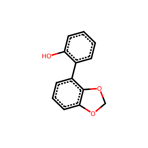 Oc1ccccc1-c1cccc2c1OCO2